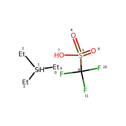 CC[SiH](CC)CC.O=S(=O)(O)C(F)(F)F